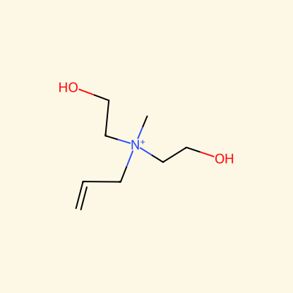 C=CC[N+](C)(CCO)CCO